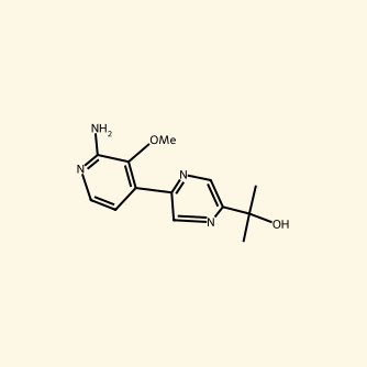 COc1c(-c2cnc(C(C)(C)O)cn2)ccnc1N